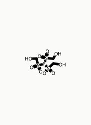 O=S(=O)(CO)P(S(=O)(=O)CO)S(=O)(=O)CO